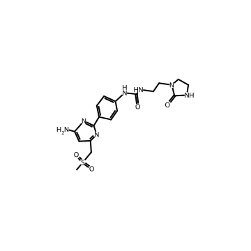 CS(=O)(=O)Cc1cc(N)nc(-c2ccc(NC(=O)NCCN3CCNC3=O)cc2)n1